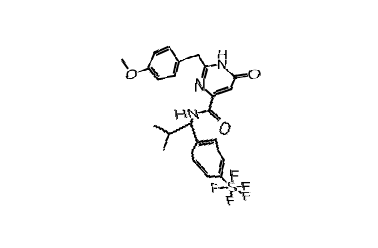 COc1ccc(Cc2nc(C(=O)NC(c3ccc(S(F)(F)(F)(F)F)cc3)C(C)C)cc(=O)[nH]2)cc1